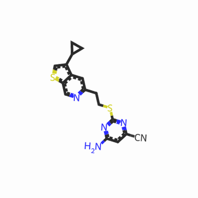 N#Cc1cc(N)nc(SCCc2cc3c(C4CC4)csc3cn2)n1